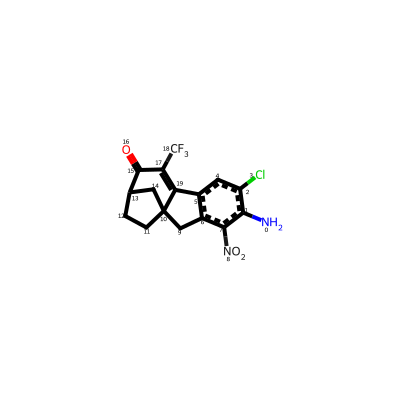 Nc1c(Cl)cc2c(c1[N+](=O)[O-])CC13CCC(C1)C(=O)C(C(F)(F)F)=C23